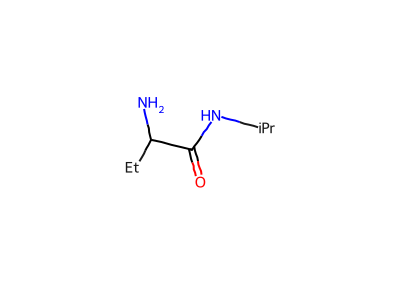 CCC(N)C(=O)NC(C)C